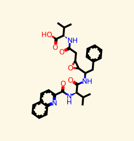 CC(C)[C@H](NC(=O)CC1OC1C(Cc1ccccc1)NC(=O)[C@H](NC(=O)c1ccc2ccccc2n1)C(C)C)C(=O)O